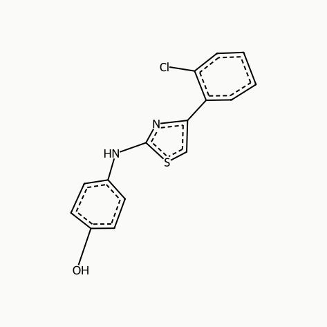 Oc1ccc(Nc2nc(-c3ccccc3Cl)cs2)cc1